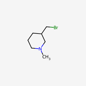 CN1CCCC(CBr)C1